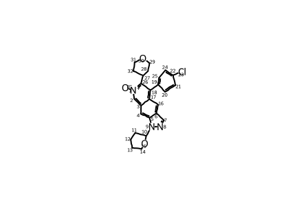 [O-][n+]1cc2cc3c(cnn3C3CCCCO3)cc2c(-c2ccc(Cl)cc2)c1C1CCOCC1